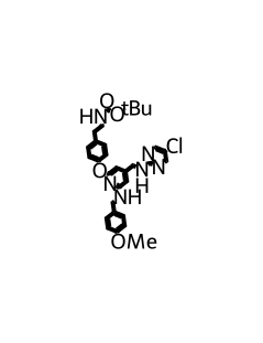 COc1ccc(CNc2cc(CNc3ncc(Cl)cn3)cc(Oc3ccc(CCNC(=O)OC(C)(C)C)cc3)n2)cc1